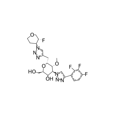 CO[C@@H]1[C@@H](n2cc(-c3ccc(F)c(F)c3F)nn2)[C@@H](O)[C@@H](CO)O[C@@H]1Cc1cn([C@H]2CCOC[C@@H]2F)nn1